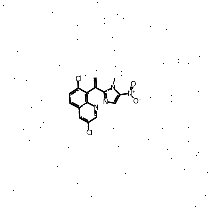 C=C(c1c(Cl)ccc2cc(Cl)cnc12)c1ncc([N+](=O)[O-])n1C